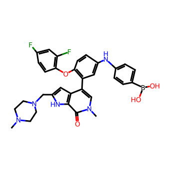 CN1CCN(Cc2cc3c(-c4cc(Nc5ccc(B(O)O)cc5)ccc4Oc4ccc(F)cc4F)cn(C)c(=O)c3[nH]2)CC1